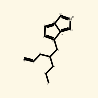 C=CCC(CCC)CC1=CC=C2C=NC=C21